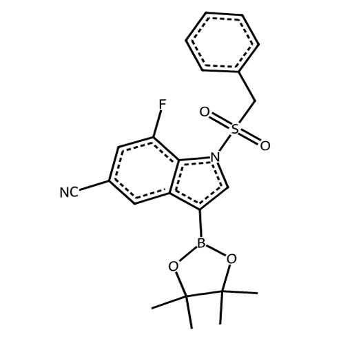 CC1(C)OB(c2cn(S(=O)(=O)Cc3ccccc3)c3c(F)cc(C#N)cc23)OC1(C)C